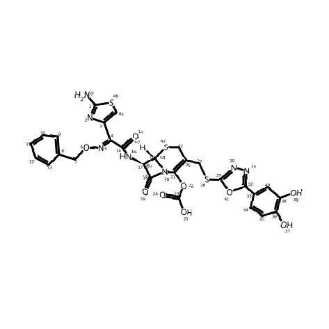 Nc1nc(C(=NOCc2ccccc2)C(=O)N[C@@H]2C(=O)N3C(OC(=O)O)=C(CSc4nnc(-c5ccc(O)c(O)c5)o4)CS[C@@H]23)cs1